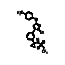 CCn1nc(Oc2ccc(C(F)(F)F)cc2)cc1-c1cccc(C2(NS(=O)(=O)CC(F)(F)F)CC2)c1